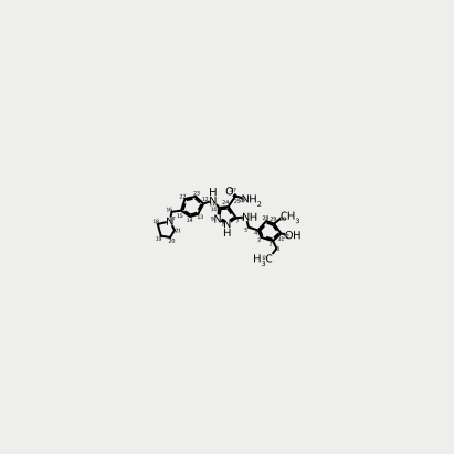 CCc1cc(CNc2[nH]nc(Nc3ccc(CN4CCCC4)cc3)c2C(N)=O)cc(C)c1O